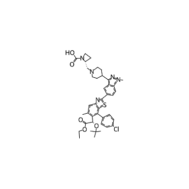 CCOC(=O)[C@@H](OC(C)(C)C)c1c(C)cc2nc(-c3ccc4c(c3)c(C3CCN(C[C@H]5CCN5C(=O)O)CC3)nn4C)sc2c1-c1ccc(Cl)cc1